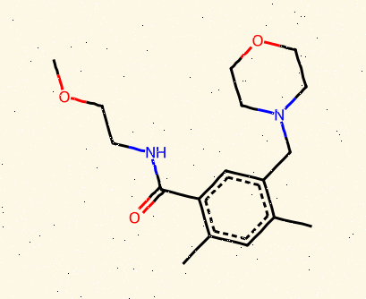 COCCNC(=O)c1cc(CN2CCOCC2)c(C)cc1C